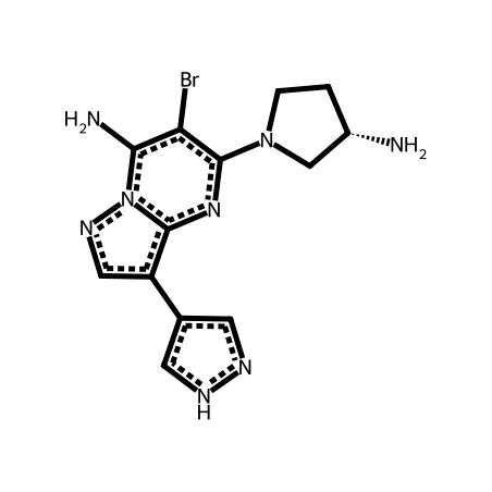 Nc1c(Br)c(N2CC[C@H](N)C2)nc2c(-c3cn[nH]c3)cnn12